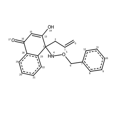 C=CCC1(NOCc2ccccc2)C(O)=CC(=O)c2ccccc21